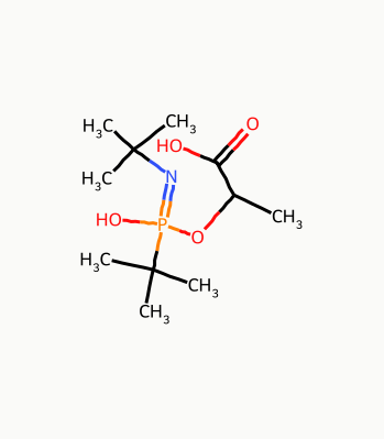 CC(OP(O)(=NC(C)(C)C)C(C)(C)C)C(=O)O